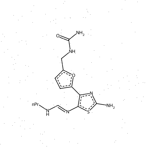 CCCNC=Nc1sc(N)nc1-c1ccc(CNC(N)=O)o1